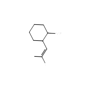 CC/C(C)=C/C1CCCCC1NC